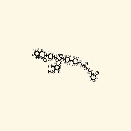 Cc1cc(C[C@@H](OC(=O)N2CCC(N3CCc4ccccc4NC3=O)CC2)C(=O)N2CCC(C3CCN(CCC(=O)OCCCN4CCCCC4=O)CC3)CC2)cc(Cl)c1O